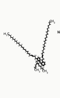 CCCCCCCCCCCCCCCCCCCCCCC#CCCc1ccccc1N=C(CCCC)C(CCCCC)=Nc1ccccc1CCC#CCCCCCCCCCCCCCCCCCCCCCC.[Ni]